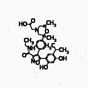 CCNC(=O)c1noc(-c2cc(C(C)C)c(O)cc2O)c1-c1ccc([C@@]2(C)CN(CC(=O)O)C[C@@H](C)O2)cc1